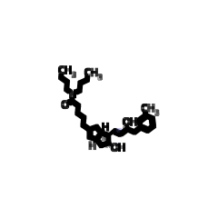 CCCCN(CCCC)C(=O)CCCCC1=C[C@H]2C[C@@H](O)[C@H](/C=C/[C@@H](O)Cc3cccc(C)c3)[C@H]2C1